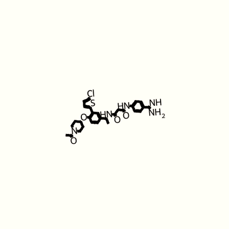 CC(=O)N1CCC(Oc2ccc(C(C)NC(=O)CC(=O)Nc3ccc(C(=N)N)cc3)cc2-c2ccc(Cl)s2)CC1